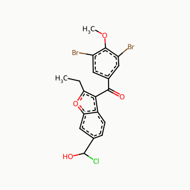 CCc1oc2cc(C(O)Cl)ccc2c1C(=O)c1cc(Br)c(OC)c(Br)c1